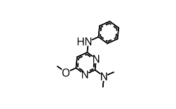 COc1cc(Nc2ccccc2)nc(N(C)C)n1